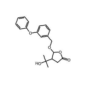 CC(C)(O)C1CC(=O)OC1OCc1cccc(Oc2ccccc2)c1